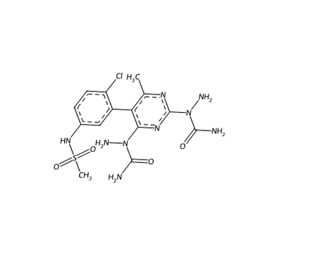 Cc1nc(N(N)C(N)=O)nc(N(N)C(N)=O)c1-c1cc(NS(C)(=O)=O)ccc1Cl